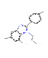 COCCn1c(-c2ccc(C(C)C)cc2)nc2cc(C(C)=O)cc(OC)c21